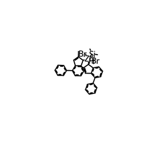 CC1=Cc2c(-c3ccccc3)cccc2[CH]1[Zr]([Br])([Br])([CH]1C(C)=Cc2c(-c3ccccc3)cccc21)[SiH](C)C